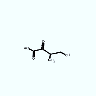 NC(CO)C(=O)C(=O)O